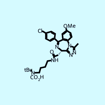 COc1ccc2c(c1)C(c1ccc(Cl)cc1)=N[C@@H](CC(=O)NCCCCN(C(=O)O)C(C)(C)C)c1nnc(C)n1-2